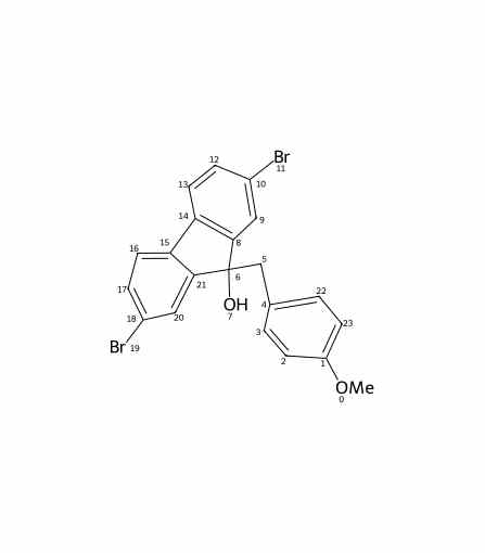 COc1ccc(CC2(O)c3cc(Br)ccc3-c3ccc(Br)cc32)cc1